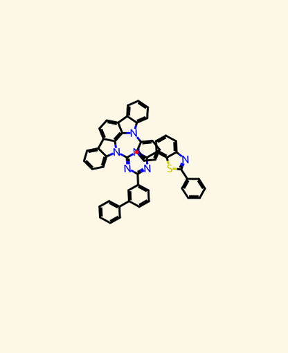 c1ccc(-c2cccc(-c3nc(-c4cccc5nc(-c6ccccc6)sc45)nc(-n4c5ccccc5c5ccc6c7ccccc7n(-c7ccccc7)c6c54)n3)c2)cc1